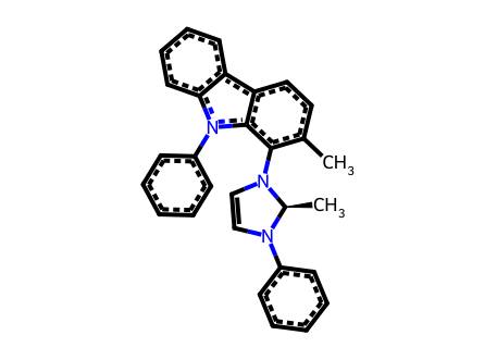 Cc1ccc2c3ccccc3n(-c3ccccc3)c2c1N1C=CN(c2ccccc2)[C@@H]1C